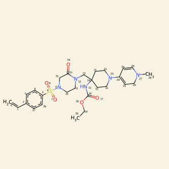 C=Cc1ccc(S(=O)(=O)N2CCN(CC3(NC(=O)OCC)CCN(C4=CCN(C)C=C4)CC3)C(=O)C2)cc1